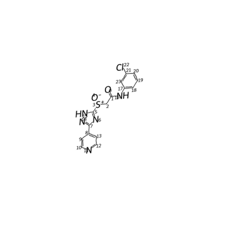 O=C(C[S+]([O-])c1nc(-c2ccncc2)n[nH]1)Nc1cccc(Cl)c1